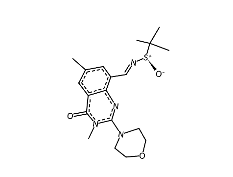 Cc1cc(C=N[S@+]([O-])C(C)(C)C)c2nc(N3CCOCC3)n(C)c(=O)c2c1